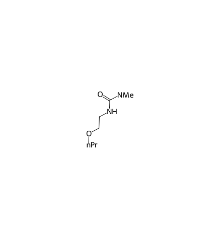 CCCOCCNC(=O)NC